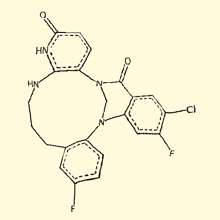 O=C1c2cc(Cl)c(F)cc2N2CN1c1ccc(=O)[nH]c1NCCCc1cc(F)ccc12